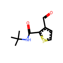 CC(C)(C)NC(=O)c1sccc1C=O